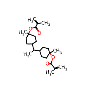 C=C(C)C(=O)OC1(C)CCC(C(C)C2CCC(C)(OC(=O)C(=C)C)CC2)CC1